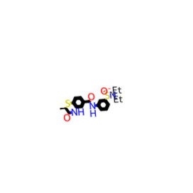 CCN(CC)[S+]([O-])c1cccc(NC(=O)c2ccc3c(c2)NC(=O)[C@@H](C)S3)c1